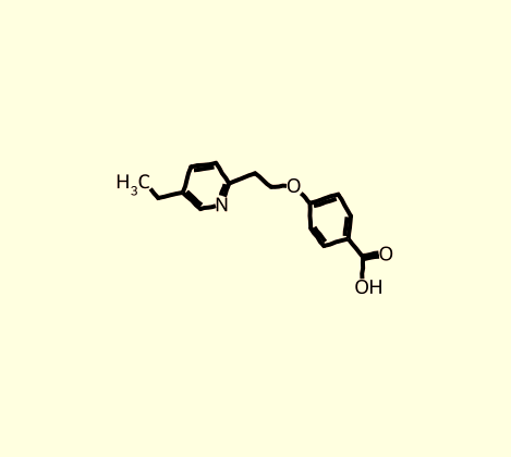 CCc1ccc(CCOc2ccc(C(=O)O)cc2)nc1